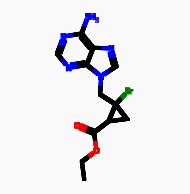 CCOC(=O)C1CC1(Br)Cn1cnc2c(N)ncnc21